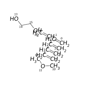 C=C.C=C.C=C.C=C.C=C.COC.OCCO